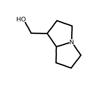 OCC1CCN2CCCC12